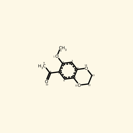 COc1cc2c(cc1C(C)=O)OCCO2